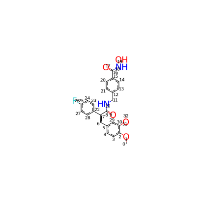 COc1ccc(C=C(C(=O)NCc2ccc(C(=O)NO)cc2)c2ccc(F)cc2)cc1OC